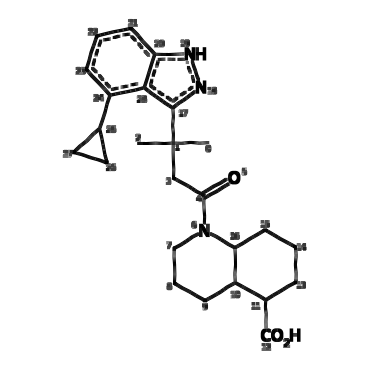 CC(C)(CC(=O)N1CCCC2C(C(=O)O)CCCC21)c1n[nH]c2cccc(C3CC3)c12